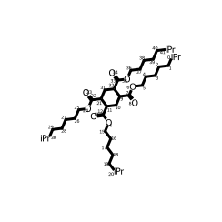 CC(C)CCCCCOC(=O)C1CC(C(=O)OCCCCCC(C)C)C(C(=O)OCCCCCC(C)C)CC1C(=O)OCCCCCC(C)C